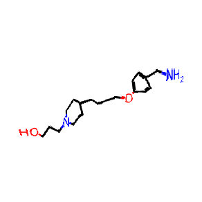 NCc1ccc(OCCCC2CCN(CCCO)CC2)cc1